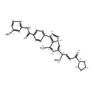 CCCc1ccnc(NC(=O)c2ccc(-c3ncn4cc(C(/C=C/C(=O)N5CCCC5)OC)nc(N)c34)cc2)c1